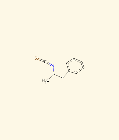 CC(Cc1ccccc1)N=C=S